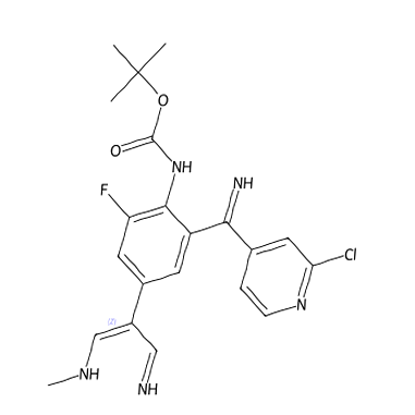 CN/C=C(\C=N)c1cc(F)c(NC(=O)OC(C)(C)C)c(C(=N)c2ccnc(Cl)c2)c1